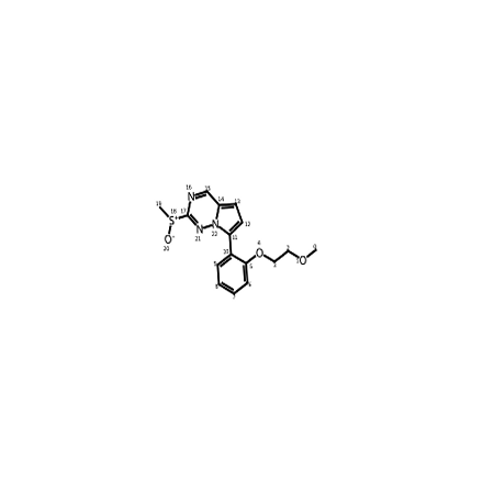 COCCOc1ccccc1-c1ccc2cnc([S+](C)[O-])nn12